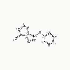 O=c1occc2c1nnn2Cc1ccccc1